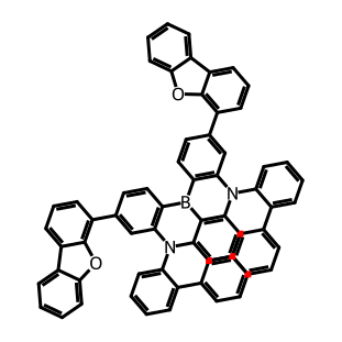 c1ccc(-c2ccccc2N2c3cc(-c4cccc5c4oc4ccccc45)ccc3B3c4ccc(-c5cccc6c5oc5ccccc56)cc4N(c4ccccc4-c4ccccc4)c4cccc2c43)cc1